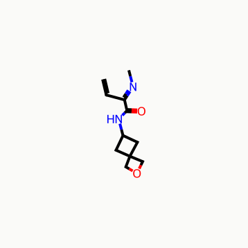 C=C/C(=N\C)C(=O)NC1CC2(COC2)C1